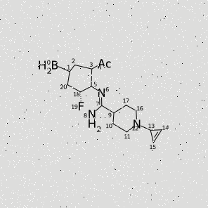 BC1CC(C(C)=O)C(/N=C(\N)C2CCN(C3C=C3)CC2)[C@H](F)C1